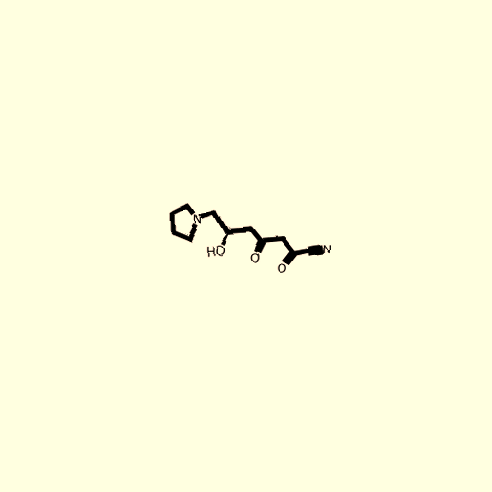 N#CC(=O)CC(=O)C[C@@H](O)CN1CCCC1